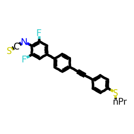 CCCSc1ccc(C#Cc2ccc(-c3cc(F)c(N=C=S)c(F)c3)cc2)cc1